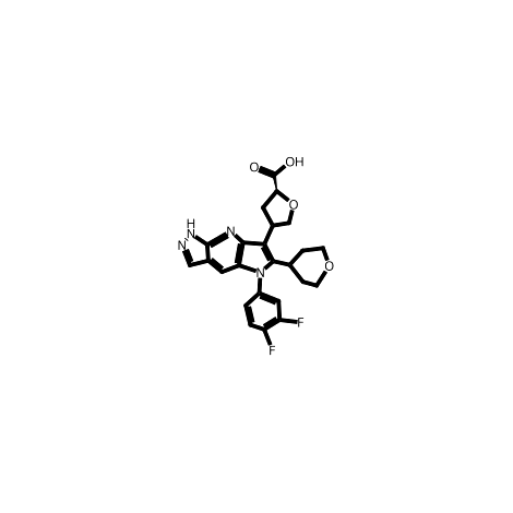 O=C(O)[C@@H]1CC(c2c(C3CCOCC3)n(-c3ccc(F)c(F)c3)c3cc4cn[nH]c4nc23)CO1